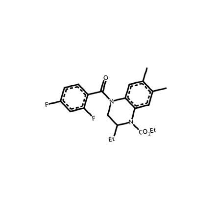 CCOC(=O)N1c2cc(C)c(C)cc2N(C(=O)c2ccc(F)cc2F)CC1CC